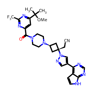 COC(C)(C)c1cc(C(=O)N2CCN([C@H]3C[C@](CC#N)(n4cc(-c5ncnc6[nH]ccc56)cn4)C3)CC2)nc(C(F)(F)F)n1